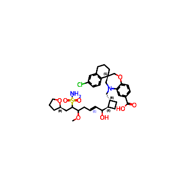 COC(C/C=C/C(O)[C@@H]1CC[C@H]1CN1C[C@@]2(CCCc3cc(Cl)ccc32)COc2ccc(C(=O)O)cc21)C(C[C@H]1CCCO1)S(N)(=O)=O